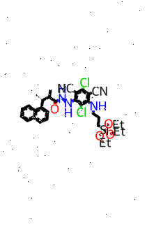 CCO[Si](CCCNc1c(Cl)c(NNC(=O)C(C)[C@@H](C)c2cccc3ccccc23)c(C#N)c(Cl)c1C#N)(OCC)OCC